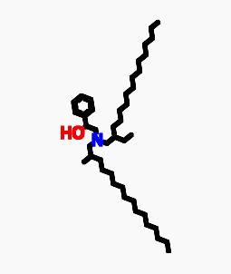 CCCCCCCCCCCCCCC(C)CN(CC(CC)CCCCCCCCCCCCCC)CC(O)c1ccccc1